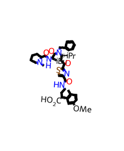 CCC(C)C(NC(=O)C1CCCCN1C)C(=O)N(Cc1ccccc1)[C@H](CC(=O)c1nc(C(=O)NCC[C@@H](C(=O)O)c2cc(OC)ccc2C)cs1)C(C)C